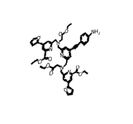 CCOC(=O)CN(Cc1cc(C#Cc2ccc(N)cc2)cc(CN(CC(=O)OCC)Cc2cc(-c3ccco3)cc(C(=O)OCC)n2)n1)Cc1cc(-c2ccco2)cc(C(=O)OCC)n1